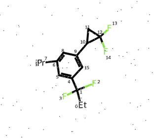 CCC(F)(F)c1cc(C(C)C)cc(C2CC2(F)F)c1